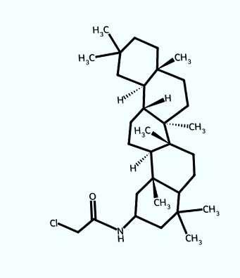 CC1(C)CC[C@]2(C)CC[C@]3(C)[C@H](CC[C@@H]4[C@@]5(C)CC(NC(=O)CCl)CC(C)(C)C5CC[C@]43C)[C@H]2C1